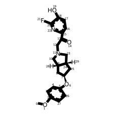 COc1ccc(O[C@H]2C[C@@H]3CN(CC(=O)c4ccc(O)c(F)n4)C[C@@H]3C2)cc1